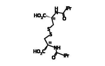 CC(C)C(=O)N[C@H](CSSC[C@@H](NC(=O)C(C)C)C(=O)O)C(=O)O